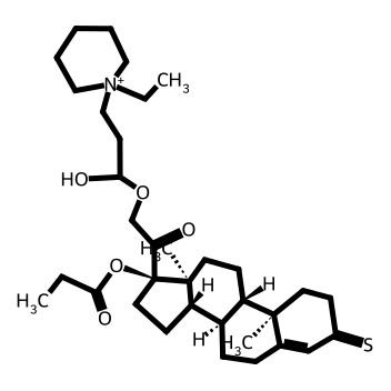 CCC(=O)O[C@]1(C(=O)COC(O)CC[N+]2(CC)CCCCC2)CC[C@H]2[C@@H]3CCC4=CC(=S)CC[C@]4(C)[C@H]3CC[C@@]21C